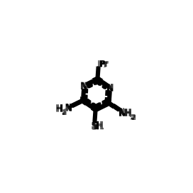 CC(C)c1nc(N)c(S)c(N)n1